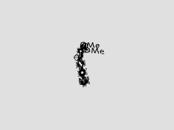 COCC1(C(=O)OC)CCN(CC(=O)N2CCN(c3ccc(-c4ncccn4)cc3)CC2)C1